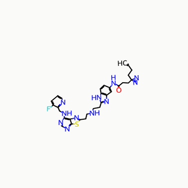 C#CCCC1(CCC(=O)Nc2ccc3[nH]c(CCNCCc4nc5c(NCc6ncccc6F)ncnc5s4)nc3c2)N=N1